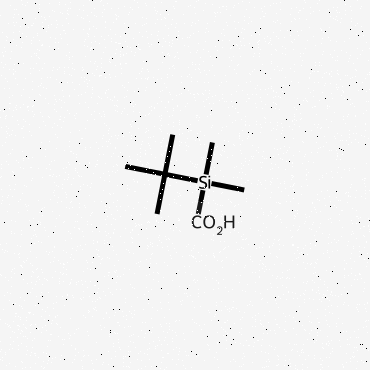 CC(C)(C)[Si](C)(C)C(=O)O